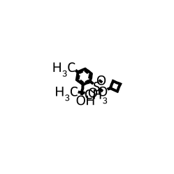 Cc1ccc(S(=O)(=O)OC2CCC2)c(C(C)(C)O)c1